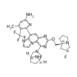 Cc1cc(N)nc(-c2cc3nc(OC[C@@]45CCCN4C[C@H](F)C5)nc(N4C[C@H]5CC[C@@H](C4)N5)c3n3ccnc23)c1C(F)(F)F